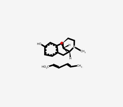 CC=CC=CC(=O)O.CN1CC[C@]23CCCC[C@H]2[C@H]1Cc1ccc(O)cc13